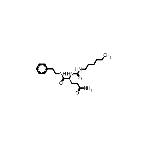 CCCCCCNC(=O)N[C@@H](CCC(N)=O)C(=O)NCCc1ccccc1